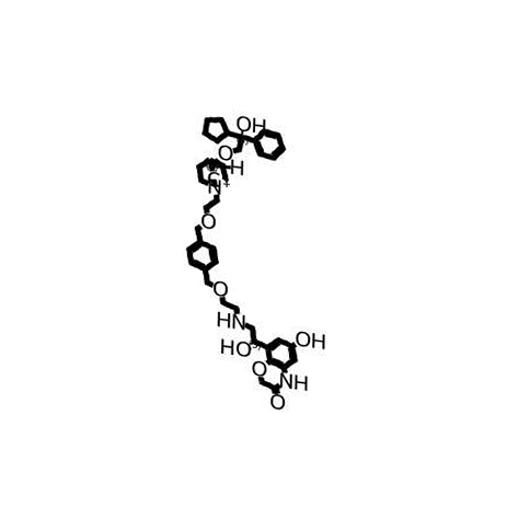 O=C1COc2c(cc(O)cc2[C@H](O)CNCCOCc2ccc(COCC[N+]34CCC(CC3)[C@H](OC[C@](O)(c3ccccc3)C3CCCC3)C4)cc2)N1